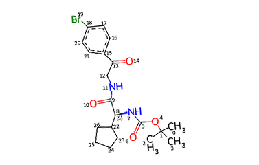 CC(C)(C)OC(=O)N[C@H](C(=O)NCC(=O)c1ccc(Br)cc1)C1CCCC1